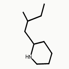 CCC(C)CC1CCCCN1